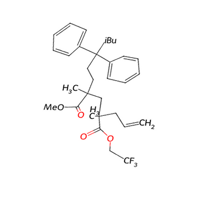 C=CCC(C)(CC(C)(CCC(c1ccccc1)(c1ccccc1)C(C)CC)C(=O)OC)C(=O)OCC(F)(F)F